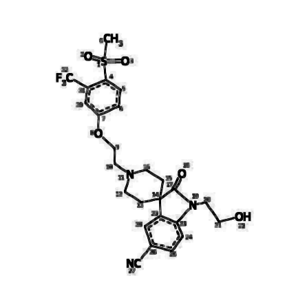 CS(=O)(=O)c1ccc(OCCN2CCC3(CC2)C(=O)N(CCO)c2ccc(C#N)cc23)cc1C(F)(F)F